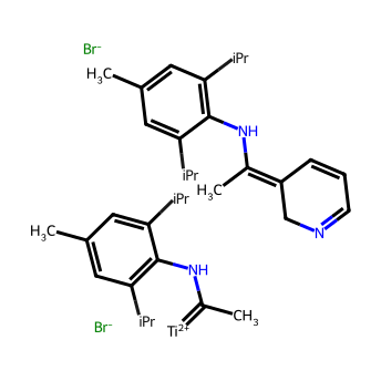 CC(Nc1c(C(C)C)cc(C)cc1C(C)C)=C1C=CC=NC1.C[C](=[Ti+2])Nc1c(C(C)C)cc(C)cc1C(C)C.[Br-].[Br-]